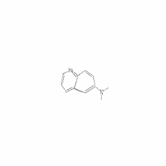 CN(C)c1ccc2nc[c]cc2c1